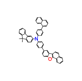 CC1(C)c2ccccc2-c2cc(N(c3ccc(-c4ccc5oc6c7ccccc7ccc6c5c4)cc3)c3ccc(-c4cccc5ccccc45)cc3)ccc21